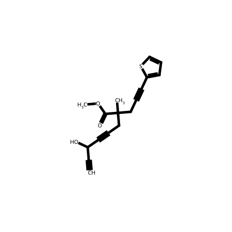 C#CC(O)C#CCC(C)(CC#Cc1cccs1)C(=O)OC